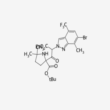 CCOC(=O)C(C(=O)C1(C(=O)OC(C)(C)C)CCC(C)(C)N1)n1cc2c(C(F)(F)F)cc(Br)c(C)c2n1